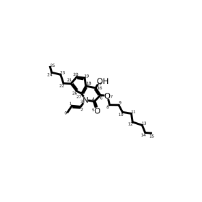 CC=Cn1c(=O)c(OCCCCCCCC)c(O)c2ccc(CCCC)cc21